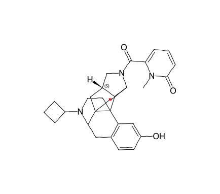 Cn1c(C(=O)N2C[C@H]3CC45CCC2C3C42CCN(C3CCC3)C5Cc3ccc(O)cc32)cccc1=O